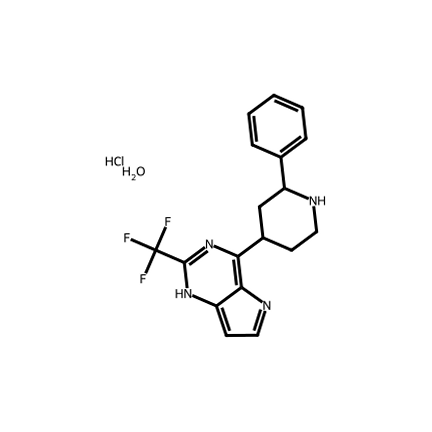 Cl.FC(F)(F)c1nc(C2CCNC(c3ccccc3)C2)c2nccc-2[nH]1.O